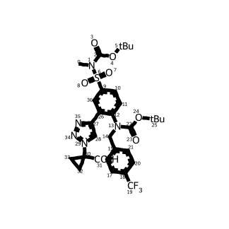 CN(C(=O)OC(C)(C)C)S(=O)(=O)c1ccc(N(Cc2ccc(C(F)(F)F)cc2)C(=O)OC(C)(C)C)c(-c2cn(C3(C(=O)O)CC3)nn2)c1